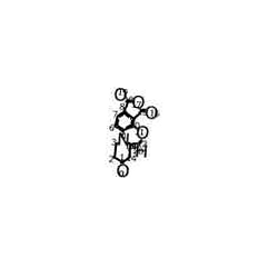 O=C1CCN2c3ccc4c(c3OC[C@@H]2C1)C(=O)OC4=O